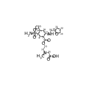 CN(CCOC(=O)c1cc(S(N)(=O)=O)c(Cl)cc1NCc1ccco1)CC(=O)O